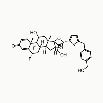 C[C@]12C=CC(=O)C=C1[C@@H](F)C[C@H]1[C@@H]3C[C@H]4O[C@@H](c5ccc(Cc6ccc(CO)cc6)s5)O[C@@]4(C(=O)CO)[C@@]3(C)C[C@H](O)[C@@]12F